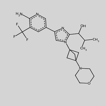 CC(C)C(O)c1nc(-c2cnc(N)c(C(F)(F)F)c2)cn1C12CC(N3CCOCC3)(C1)C2